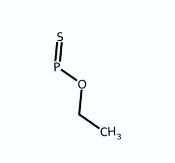 CCOP=S